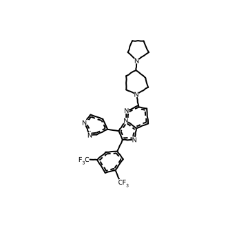 FC(F)(F)c1cc(-c2nc3ccc(N4CCC(N5CCCC5)CC4)nn3c2-c2ccnnc2)cc(C(F)(F)F)c1